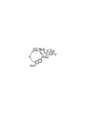 COc1cc2ccc3cc2cc1CCCC(C)(C)CCOC(=O)N[C@@H](C(C)(C)C)C(=O)N1C[C@@]3(OC)C[C@H]1C(=O)N[C@]1(C(=O)NS(=O)(=O)C2CC2)C[C@H]1C1CC1